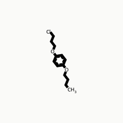 CCCCOc1ccc(OCCCCl)cc1